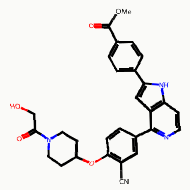 COC(=O)c1ccc(-c2cc3c(-c4ccc(OC5CCN(C(=O)CO)CC5)c(C#N)c4)nccc3[nH]2)cc1